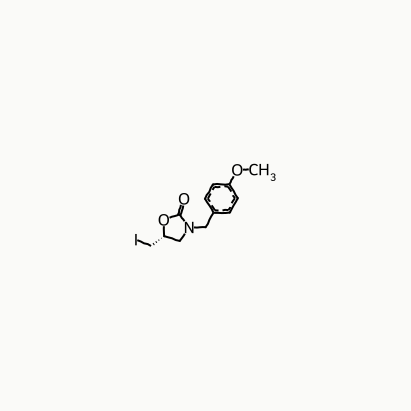 COc1ccc(CN2C[C@H](CI)OC2=O)cc1